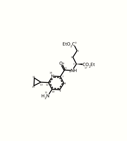 CCOC(=O)CC[C@H](NC(=O)c1ccc(N)c(C2CC2)n1)C(=O)OCC